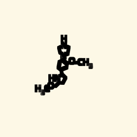 CCOc1cc(C2CCC(COC)N2)ccc1N1CCNCC1